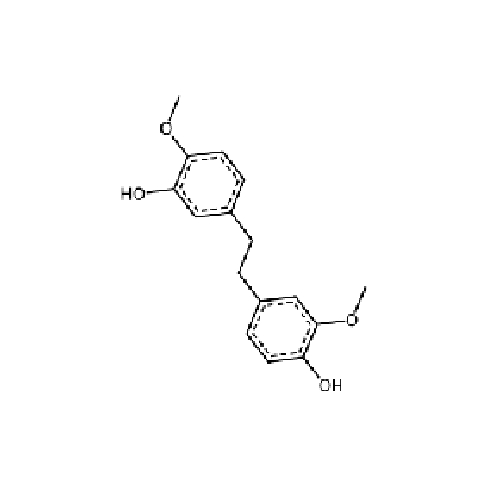 COc1ccc(CCc2ccc(O)c(OC)c2)cc1O